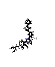 CCN(CC)CCNC(=O)C1=C(C)NC(/C=C2\C(=O)Nc3ccc(-c4csc(-c5cccnc5)n4)cc32)C1C